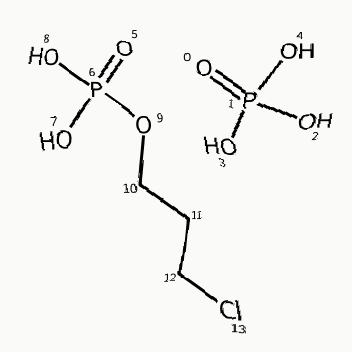 O=P(O)(O)O.O=P(O)(O)OCCCCl